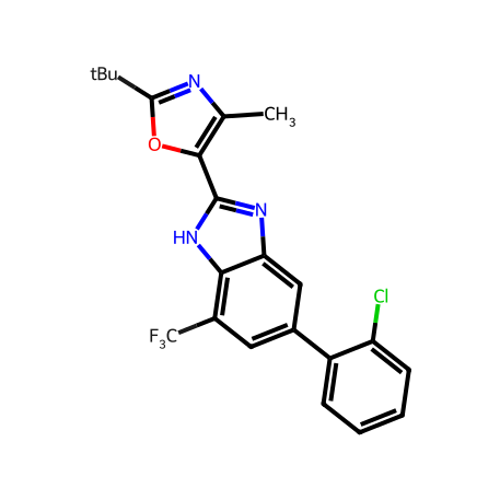 Cc1nc(C(C)(C)C)oc1-c1nc2cc(-c3ccccc3Cl)cc(C(F)(F)F)c2[nH]1